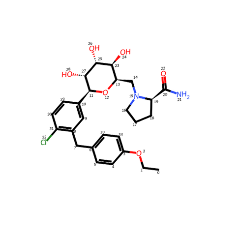 CCOc1ccc(Cc2cc([C@@H]3O[C@H](CN4CCC[C@@H]4C(N)=O)[C@H](O)[C@@H](O)[C@H]3O)ccc2Cl)cc1